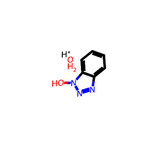 O.On1nnc2ccccc21.[H+]